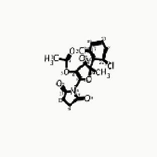 CC(=O)OC1=C(N2C(=O)CCC2=O)OC(C)(c2c(Cl)cccc2Cl)C1=O